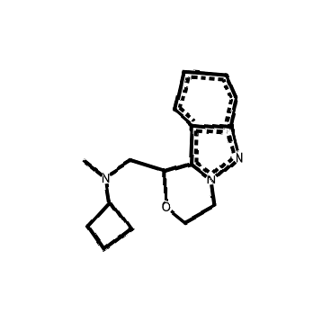 CN(CC1OCCn2nc3ccccc3c21)C1CCC1